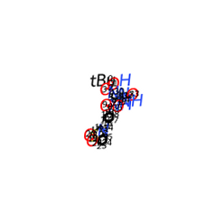 CC(C)(C)OC(=O)N1C[C@@H](NC(=O)c2ccc(CN3CCS(=O)(=O)c4ccccc43)cc2)[C@]2(C1)NC(=O)NC2=O